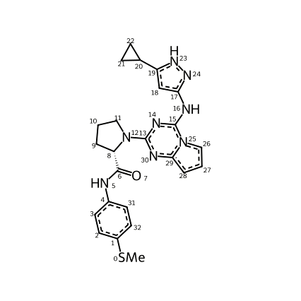 CSc1ccc(NC(=O)[C@@H]2CCCN2c2nc(Nc3cc(C4CC4)[nH]n3)n3cccc3n2)cc1